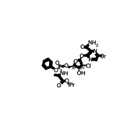 CC(C)OC(=O)C(C)N[P@](=O)(OC[C@H]1O[C@@H](Oc2ncc(Br)nc2C(N)=O)[C@@H](Cl)[C@@H]1O)Oc1ccccc1